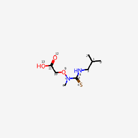 CC(C)CNC(=S)N(C)OCC(=O)O